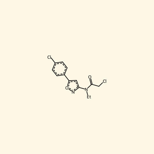 CCN(C(=O)CCl)c1cc(-c2ccc(Cl)cc2)on1